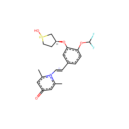 Cc1cc(=O)cc(C)n1/C=C/c1ccc(OC(F)F)c(O[C@H]2CC[SH](O)C2)c1